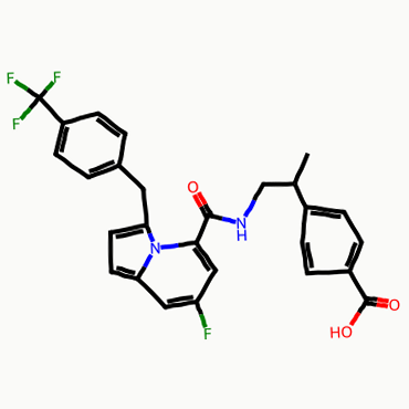 CC(CNC(=O)c1cc(F)cc2ccc(Cc3ccc(C(F)(F)F)cc3)n12)c1ccc(C(=O)O)cc1